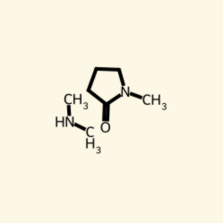 CN1CCCC1=O.CNC